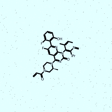 C=CC(=O)N1CCN(c2nc(=O)n(C(/C(C)=C\C)=C(/N=C)C(C)C)c3nc(-c4c(O)cccc4F)c(F)cc23)[C@@H](C)C1